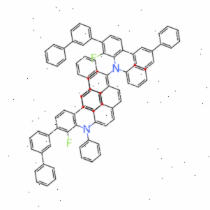 Fc1c(-c2cccc(-c3ccccc3)c2)ccc(-c2cccc(-c3ccccc3)c2)c1N(c1ccccc1)c1ccc2ccc3c(N(c4ccccc4)c4c(-c5cccc(-c6ccccc6)c5)ccc(-c5cccc(-c6ccccc6)c5)c4F)ccc4ccc1c2c43